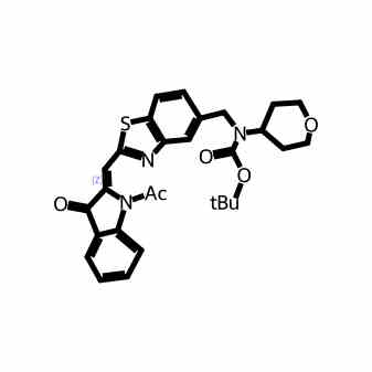 CC(=O)N1/C(=C\c2nc3cc(CN(C(=O)OC(C)(C)C)C4CCOCC4)ccc3s2)C(=O)c2ccccc21